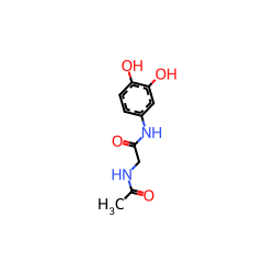 CC(=O)NCC(=O)Nc1ccc(O)c(O)c1